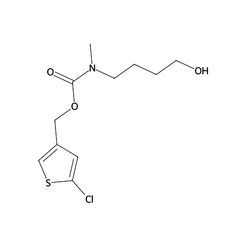 CN(CCCCO)C(=O)OCc1csc(Cl)c1